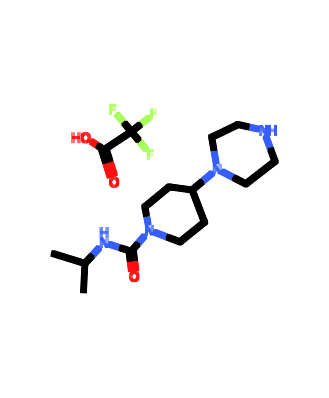 CC(C)NC(=O)N1CCC(N2CCNCC2)CC1.O=C(O)C(F)(F)F